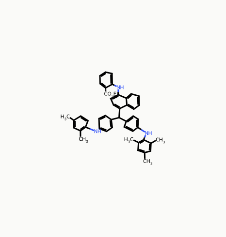 CCOC(=O)c1ccccc1Nc1ccc(C(c2ccc(Nc3ccc(C)cc3C)cc2)c2ccc(Nc3c(C)cc(C)cc3C)cc2)c2ccccc12